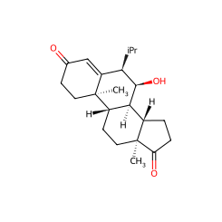 CC(C)[C@@H]1C2=CC(=O)CC[C@]2(C)[C@H]2CC[C@]3(C)C(=O)CC[C@H]3[C@@H]2[C@@H]1O